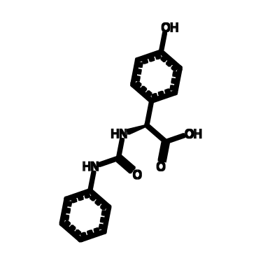 O=C(Nc1ccccc1)N[C@H](C(=O)O)c1ccc(O)cc1